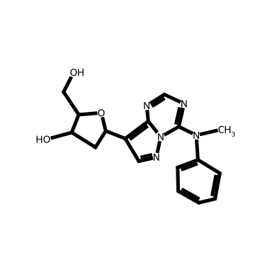 CN(c1ccccc1)c1ncnc2c(C3CC(O)C(CO)O3)cnn12